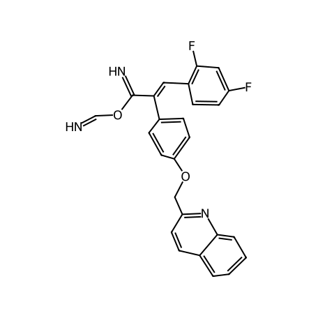 N=COC(=N)/C(=C/c1ccc(F)cc1F)c1ccc(OCc2ccc3ccccc3n2)cc1